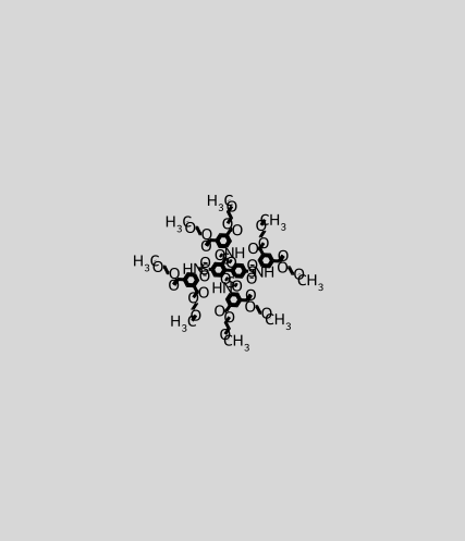 COCCOC(=O)c1cc(NS(=O)(=O)c2ccc(-c3ccc(S(=O)(=O)Nc4cc(C(=O)OCCOC)cc(C(=O)OCCOC)c4)cc3S(=O)(=O)Nc3cc(C(=O)OCCOC)cc(C(=O)OCCOC)c3)c(S(=O)(=O)Nc3cc(C(=O)OCCOC)cc(C(=O)OCCOC)c3)c2)cc(C(=O)OCCOC)c1